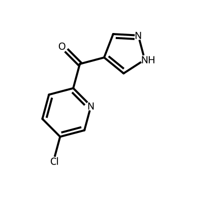 O=C(c1cn[nH]c1)c1ccc(Cl)cn1